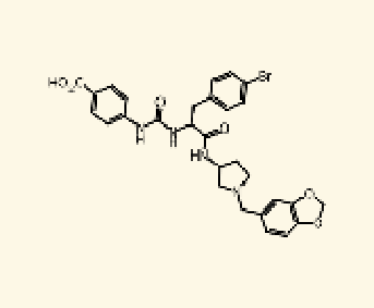 O=C(Nc1ccc(C(=O)O)cc1)N[C@@H](Cc1ccc(Br)cc1)C(=O)N[C@H]1CCN(Cc2ccc3c(c2)OCO3)C1